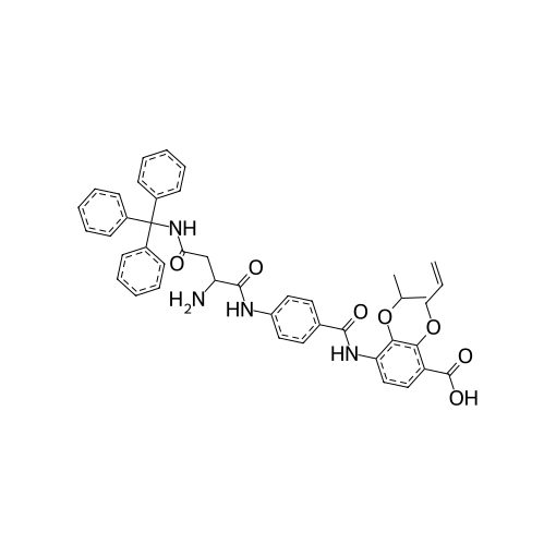 C=CCOc1c(C(=O)O)ccc(NC(=O)c2ccc(NC(=O)C(N)CC(=O)NC(c3ccccc3)(c3ccccc3)c3ccccc3)cc2)c1OC(C)C